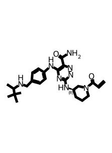 C=CC(=O)N1CCC[C@@H](Nc2nnc(C(N)=O)c(Nc3ccc(CNC(C)C(C)(C)C)cc3)n2)C1